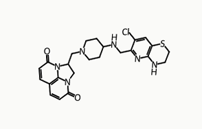 O=c1ccc2ccc(=O)n3c2n1CC3CN1CCC(NCc2nc3c(cc2Cl)SCCN3)CC1